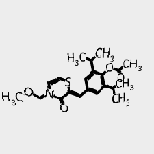 COCN1C=CSC(=Cc2cc(C(C)C)c(OC(C)=O)c(C(C)C)c2)C1=O